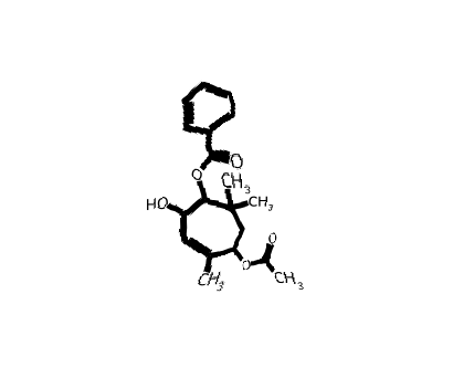 CC(=O)OC1CC(C)(C)C(OC(=O)c2ccccc2)C(O)C=C1C